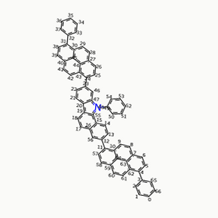 c1ccc(-c2ccc3ccc4c(-c5ccc6c(ccc7c8ccc(-c9ccc%10ccc%11c(-c%12ccccc%12)ccc%12ccc9c%10c%12%11)cc8n(-c8ccccc8)c67)c5)ccc5ccc2c3c54)cc1